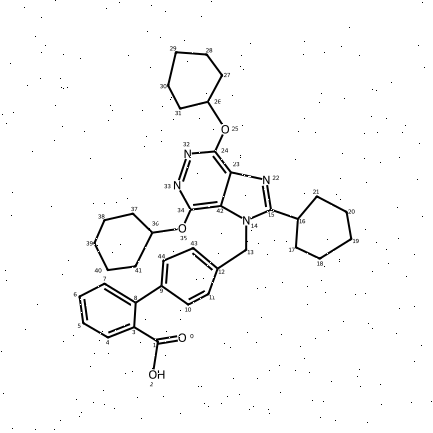 O=C(O)c1ccccc1-c1ccc(Cn2c(C3CCCCC3)nc3c(OC4CCCCC4)nnc(OC4CCCCC4)c32)cc1